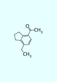 CCc1ccc(C(C)=O)c2c1CCC2